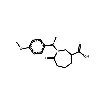 COc1ccc([C@@H](C)N2CC(C(=O)O)CCCC2=O)cc1